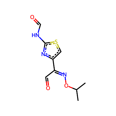 CC(C)ON=C(C=O)c1csc(NC=O)n1